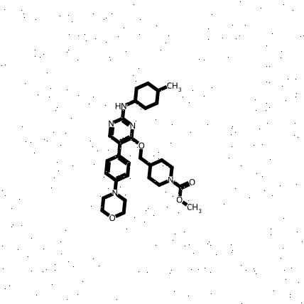 COC(=O)N1CCC(COc2nc(NC3CCC(C)CC3)ncc2-c2ccc(N3CCOCC3)cc2)CC1